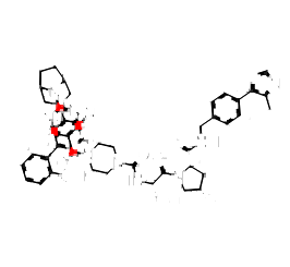 Cc1ncsc1-c1ccc(CNC(=O)[C@@H]2C[C@@H](O)CN2C(=O)[C@@H](NC(=O)N2CCN(C(=O)c3cnc(N4C5CCC4CN(c4cc(-c6ccccc6O)nnc4N)C5)nc3)CC2)C(C)(C)C)cc1